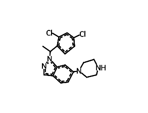 CC(c1ccc(Cl)cc1Cl)n1ncc2ccc(N3CCNCC3)cc21